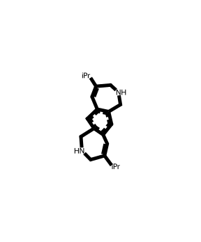 CC(C)C1=Cc2cc3c(cc2CNC1)C=C(C(C)C)CNC3